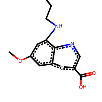 CCCNc1cc(OC)cc2cc(C(=O)O)cnc12